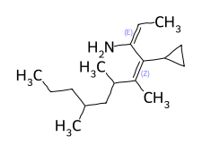 C/C=C(N)\C(=C(\C)C(C)CC(C)CCC)C1CC1